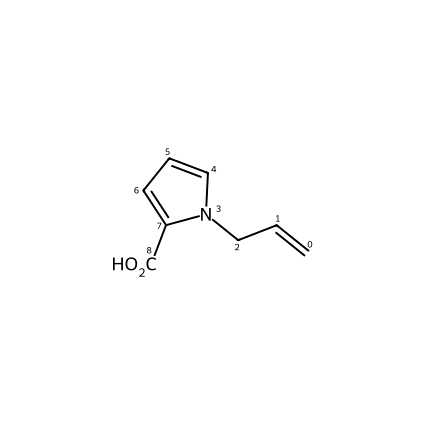 C=CCn1cccc1C(=O)O